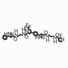 O=C(NCCCNC(=O)c1cc(-c2ccc(-c3cc(C(=O)NCCCNC(=O)c4cccnc4F)n[nH]3)cc2)cc(C(F)(F)F)n1)c1cc(-c2ccccc2)[nH]n1